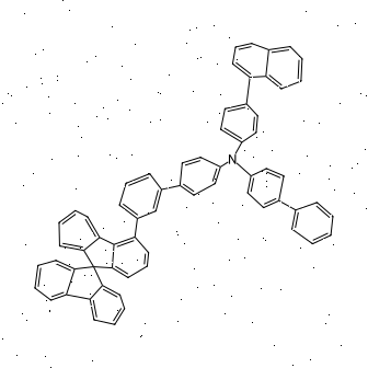 c1ccc(-c2ccc(N(c3ccc(-c4cccc(-c5cccc6c5-c5ccccc5C65c6ccccc6-c6ccccc65)c4)cc3)c3ccc(-c4cccc5ccccc45)cc3)cc2)cc1